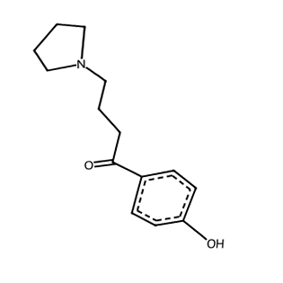 O=C(CCCN1CCCC1)c1ccc(O)cc1